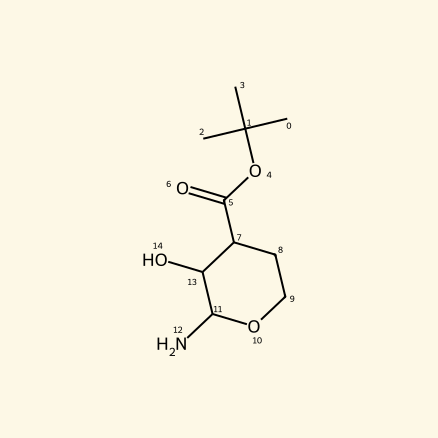 CC(C)(C)OC(=O)C1CCOC(N)C1O